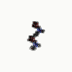 C1=Cc2cc(-c3nc(-c4ccccc4)nc(-c4cccc(-c5cccc6c5Oc5cc(-c7ccc8c(ccc9cc(-c%10nc(-c%11ccccc%11)nc(-c%11cccc(-c%12cccc%13c%12Oc%12ccccc%12C%13%12c%13ccccc%13-c%13ccccc%13%12)c%11)n%10)ccc98)c7)ccc5C65c6ccccc6-c6ccccc65)c4)n3)cc3cccc(c23)C1